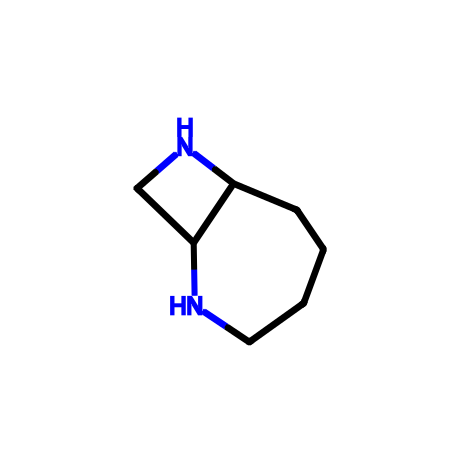 C1CCC2NCC2NC1